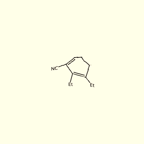 CCC1=C(CC)C(C#N)=CC[CH]1